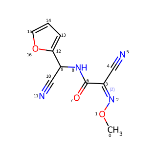 CO/N=C(/C#N)C(=O)NC(C#N)c1ccco1